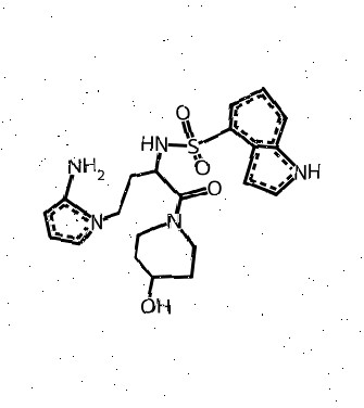 Nc1cccn1CCC(NS(=O)(=O)c1cccc2[nH]ccc12)C(=O)N1CCC(O)CC1